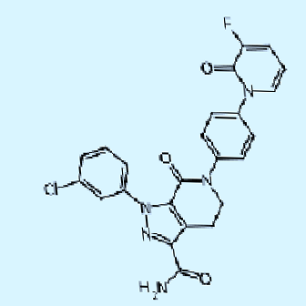 NC(=O)c1nn(-c2cccc(Cl)c2)c2c1CCN(c1ccc(-n3cccc(F)c3=O)cc1)C2=O